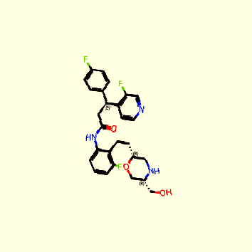 O=C(C[C@@H](c1ccc(F)cc1)c1ccncc1F)Nc1cccc(F)c1CC[C@@H]1CN[C@H](CO)CO1